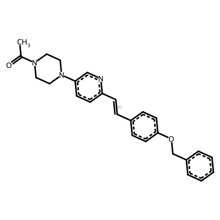 CC(=O)N1CCN(c2ccc(/C=C/c3ccc(OCc4ccccc4)cc3)nc2)CC1